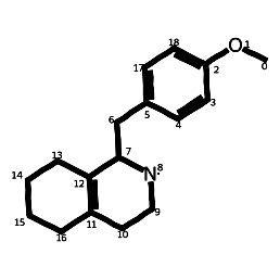 COc1ccc(CC2[N]CCC3=C2CCCC3)cc1